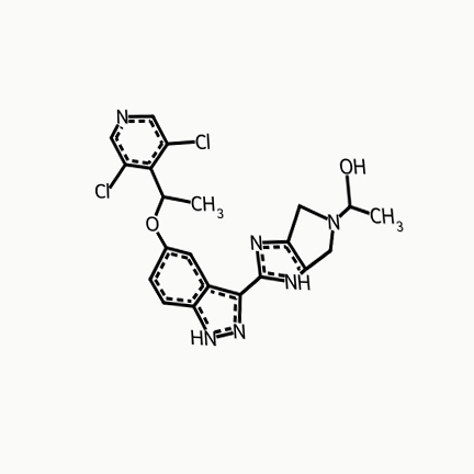 CC(Oc1ccc2[nH]nc(-c3nc4c([nH]3)CN(C(C)O)C4)c2c1)c1c(Cl)cncc1Cl